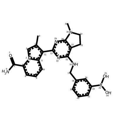 Cc1cn2c(C(N)=O)cccc2c1-c1nc(NCc2cccc(B(O)O)c2)c2c(n1)N(C)CC2